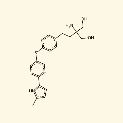 Cc1ccc(-c2ccc(Sc3ccc(CCC(N)(CO)CO)cc3)cc2)[nH]1